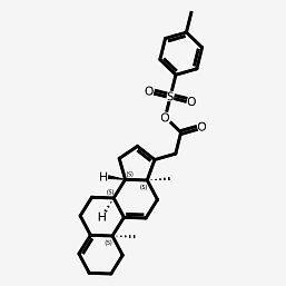 Cc1ccc(S(=O)(=O)OC(=O)CC2=CC[C@H]3[C@@H]4CCC5=CCCC[C@]5(C)C4=CC[C@]23C)cc1